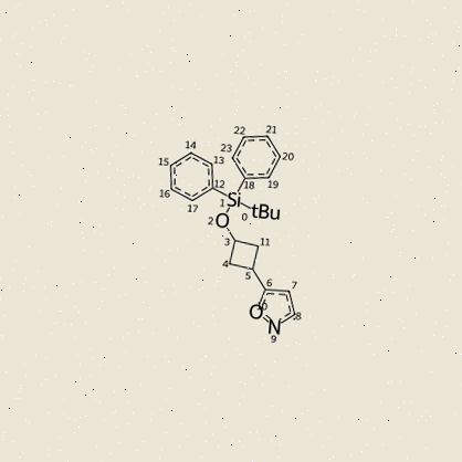 CC(C)(C)[Si](OC1CC(c2c[c]no2)C1)(c1ccccc1)c1ccccc1